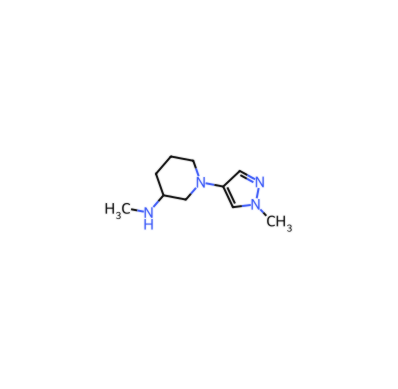 CNC1CCCN(c2cnn(C)c2)C1